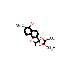 COc1ccc2cc(C3(C(C)Br)O[C@@H](C(=O)O)[C@H](C(=O)O)O3)ccc2c1Br